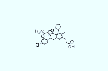 Cc1c(CCC(=O)O)cc(CCc2ccc(Cl)cc2)c(-c2nc(C(N)=O)co2)c1C1CCCC1